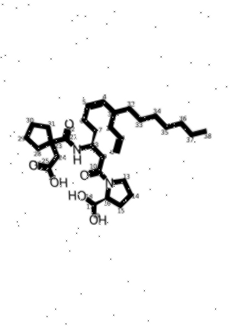 C=CCC(/C=C\CC[C@@H](CC(=O)N1CCC[C@H]1C(O)O)NC(=O)C1(CC(=O)O)CCCC1)CCCCCCC